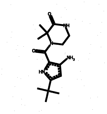 CC(C)(C)c1cc(N)c(C(=O)N2CCNC(=O)C2(C)C)[nH]1